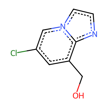 OCc1cc(Cl)cn2ccnc12